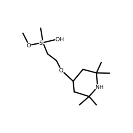 CO[Si](C)(O)CCOC1CC(C)(C)NC(C)(C)C1